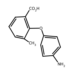 Cc1cccc(C(=O)O)c1Oc1ccc(N)cc1